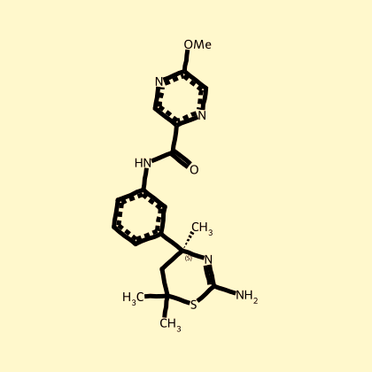 COc1cnc(C(=O)Nc2cccc([C@]3(C)CC(C)(C)SC(N)=N3)c2)cn1